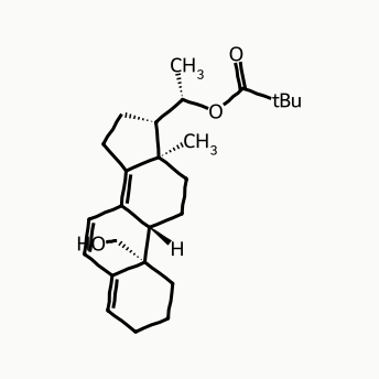 C[C@H](OC(=O)C(C)(C)C)[C@H]1CCC2=C3C=CC4=CCCC[C@]4(CO)[C@H]3CC[C@@]21C